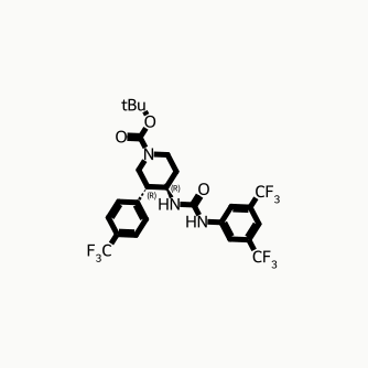 CC(C)(C)OC(=O)N1CC[C@@H](NC(=O)Nc2cc(C(F)(F)F)cc(C(F)(F)F)c2)[C@H](c2ccc(C(F)(F)F)cc2)C1